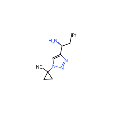 CC(C)C[C@H](N)c1cn(C2(C#N)CC2)nn1